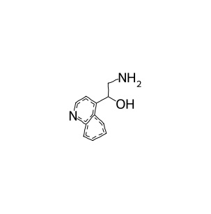 NCC(O)c1ccnc2ccccc12